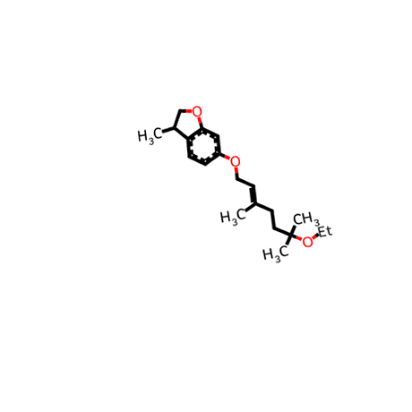 CCOC(C)(C)CC/C(C)=C/COc1ccc2c(c1)OCC2C